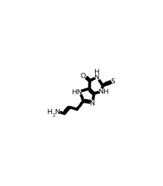 NC=CCc1nc2[nH]c(=S)[nH]c(=O)c2[nH]1